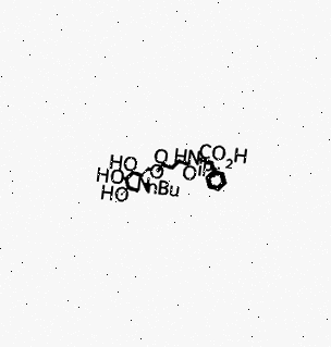 CCCCN1C[C@H](O)[C@@H](O)[C@H](O)[C@H]1COC(=O)CCC(=O)N[C@](Cc1ccccc1)(C(=O)O)C(C)C